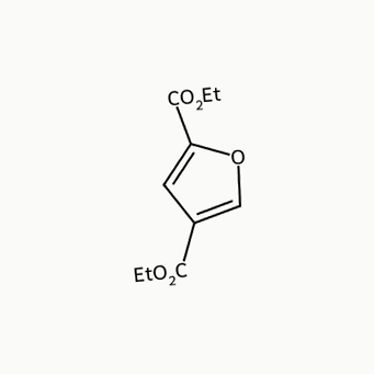 CCOC(=O)c1coc(C(=O)OCC)c1